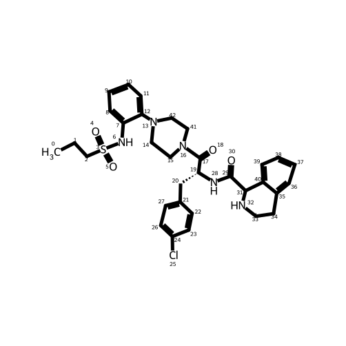 CCCS(=O)(=O)Nc1ccccc1N1CCN(C(=O)[C@@H](Cc2ccc(Cl)cc2)NC(=O)C2N[CH]Cc3ccccc32)CC1